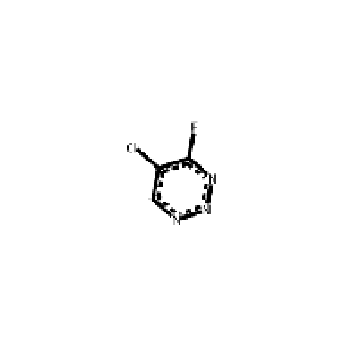 Fc1nnn[c]c1Cl